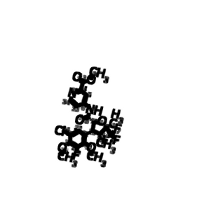 COC(=O)c1cc(NC(=O)[C@@H]2O[C@@](C)(C(F)(F)F)[C@@H](C)[C@H]2c2cc(Cl)c(OC)c(F)c2OC)ccn1